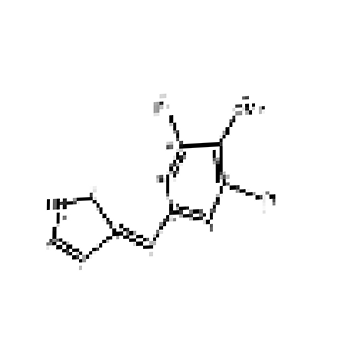 COc1c(C(C)C)cc(C=C2C=CNC2)cc1C(C)C